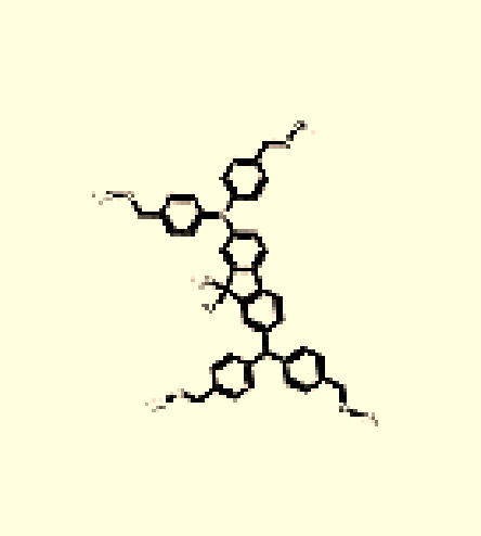 COCc1ccc(C(c2ccc(COC)cc2)c2ccc3c(c2)C(C)(C)c2cc(N(c4ccc(COC)cc4)c4ccc(COC)cc4)ccc2-3)cc1